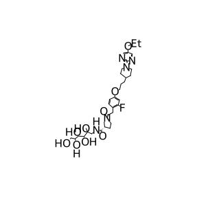 CCOc1cnc(N2CCC(CCCOc3ccc(CC(=O)N4CC[C@H](C(=O)NCC(O)C(O)C(O)C(O)CO)C4)c(F)c3)CC2)nc1